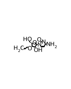 C=CCOC1C(O)[C@H](n2ccc(N)nc2=O)O[C@@H]1CO